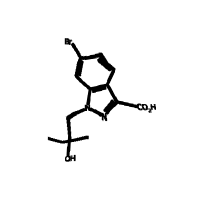 CC(C)(O)Cn1nc(C(=O)O)c2ccc(Br)cc21